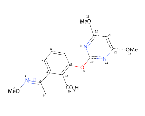 CO/N=C(\C)c1cccc(Oc2nc(OC)cc(OC)n2)c1C(=O)O